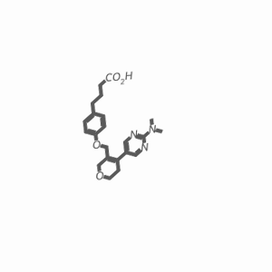 CN(C)c1ncc(C2=C(COc3ccc(CCCC(=O)O)cc3)COCC2)cn1